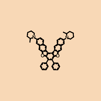 CC1CCCCN1c1ccc2cc3c(cc2c1)oc1c(-c2ccccc2)c(-c2ccccc2)c2oc4cc5cc(N6CCCCC6C)ccc5cc4c2c13